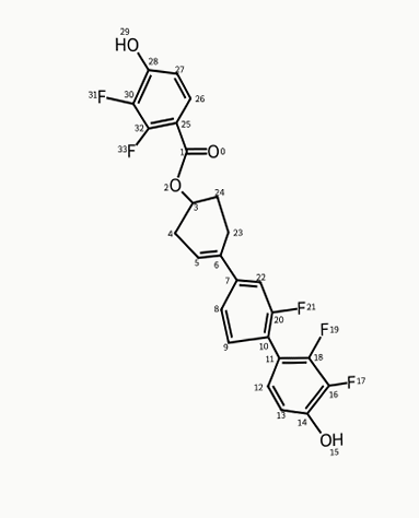 O=C(OC1CC=C(c2ccc(-c3ccc(O)c(F)c3F)c(F)c2)CC1)c1ccc(O)c(F)c1F